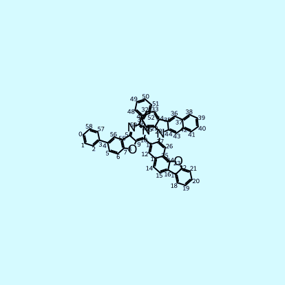 c1ccc(-c2ccc3oc4c(-c5cc6ccc7c8ccccc8oc7c6cc5-n5c6ccccc6c6cc7ccccc7cc65)nc(-c5ccccc5)nc4c3c2)cc1